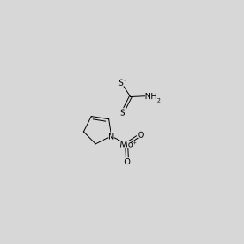 NC(=S)[S-].[O]=[Mo+](=[O])[N]1C=CCC1